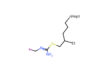 CCCCCCCCCCC(CC)CS/C(N)=N/CI